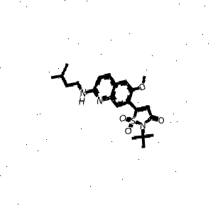 COc1cc2ccc(NCCC(C)C)nc2cc1C1=CC(=O)N(C(C)(C)C)S1(=O)=O